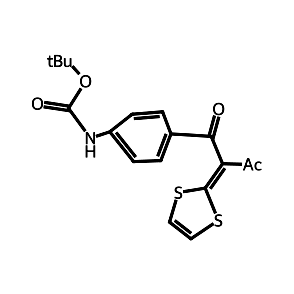 CC(=O)C(C(=O)c1ccc(NC(=O)OC(C)(C)C)cc1)=C1SC=CS1